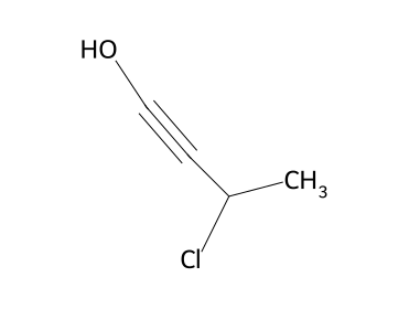 CC(Cl)C#CO